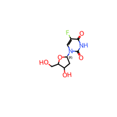 O=c1[nH]c(=O)n([C@H]2CC(O)C(CO)O2)cc1F